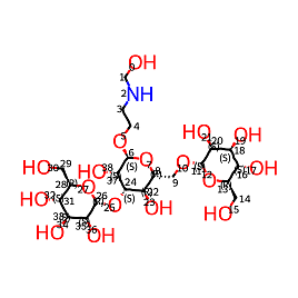 OCNCCO[C@H]1O[C@H](CO[C@H]2O[C@H](CO)[C@@H](O)[C@H](O)[C@@H]2O)[C@@H](O)[C@H](O[C@H]2O[C@H](CO)[C@@H](O)[C@H](O)[C@@H]2O)[C@@H]1O